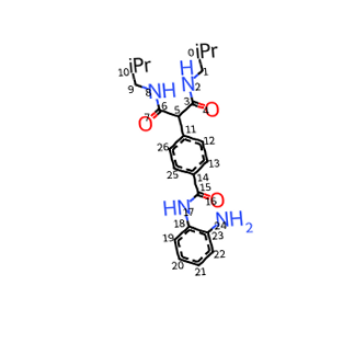 CC(C)CNC(=O)C(C(=O)NCC(C)C)c1ccc(C(=O)Nc2ccccc2N)cc1